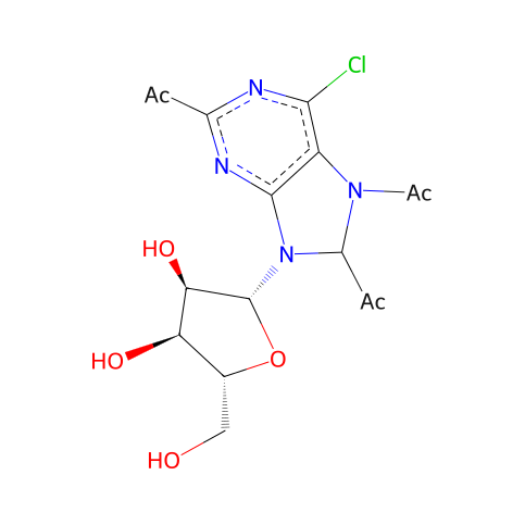 CC(=O)c1nc(Cl)c2c(n1)N([C@@H]1O[C@H](CO)[C@@H](O)[C@H]1O)C(C(C)=O)N2C(C)=O